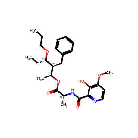 CCCO[C@@H](CC)[C@@H](Cc1ccccc1)[C@H](C)OC(=O)[C@@H](C)NC(=O)c1nccc(OC)c1O